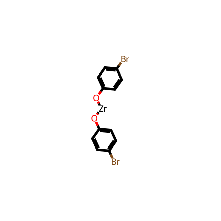 Brc1ccc([O][Zr][O]c2ccc(Br)cc2)cc1